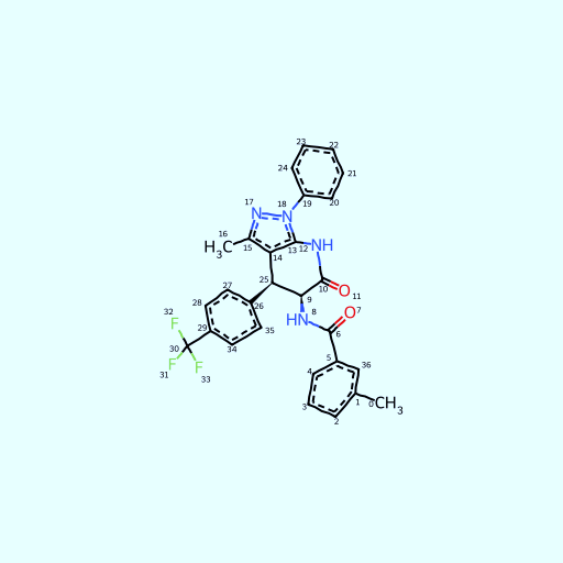 Cc1cccc(C(=O)N[C@@H]2C(=O)Nc3c(c(C)nn3-c3ccccc3)[C@@H]2c2ccc(C(F)(F)F)cc2)c1